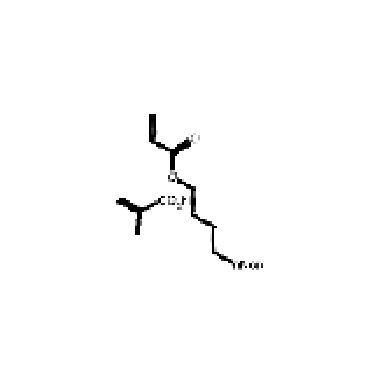 C=C(C)C(=O)O.C=CC(=O)OCCCCCCCCCCCCC